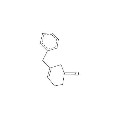 O=C1CCC=C(Cc2ccccc2)C1